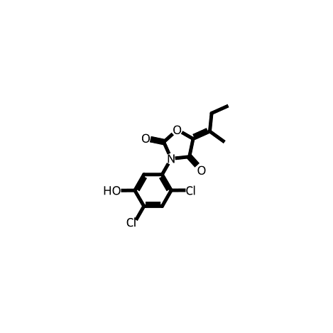 CCC(C)=C1OC(=O)N(c2cc(O)c(Cl)cc2Cl)C1=O